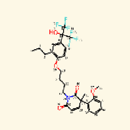 CCCc1cc(C(O)(C(F)(F)F)C(F)(F)F)ccc1OCCCCN1C(=O)C=CC(C)(c2ccccc2OC)C1=O